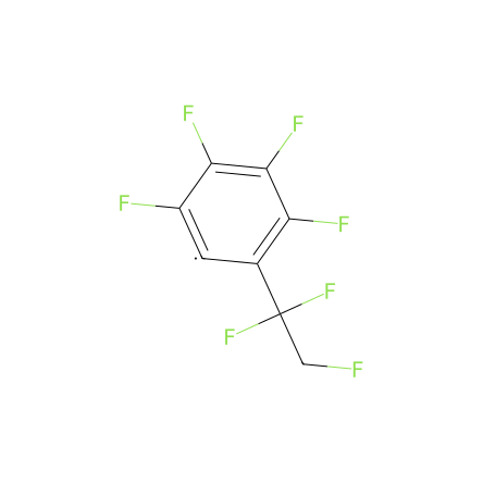 FCC(F)(F)c1[c]c(F)c(F)c(F)c1F